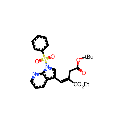 CCOC(=O)/C(=C/c1cn(S(=O)(=O)c2ccccc2)c2ncccc12)CC(=O)OC(C)(C)C